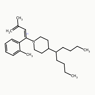 C=C(C)/C=C(\c1ccccc1C)N1CCC(C(CCCC)CCCC)CC1